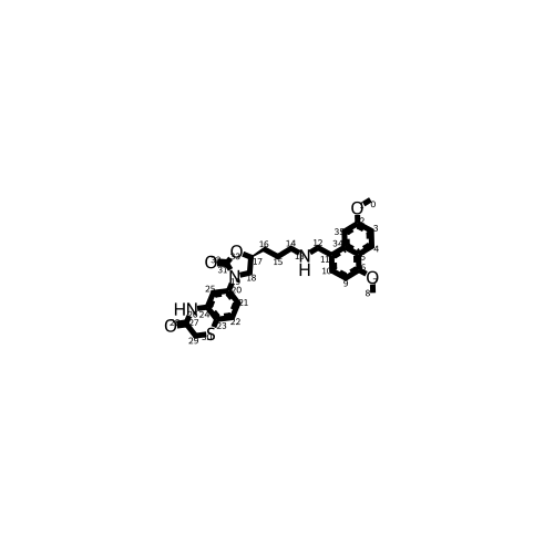 COc1ccc2c(OC)ccc(CNCCC[C@H]3CN(c4ccc5c(c4)NC(=O)CS5)C(=O)O3)c2c1